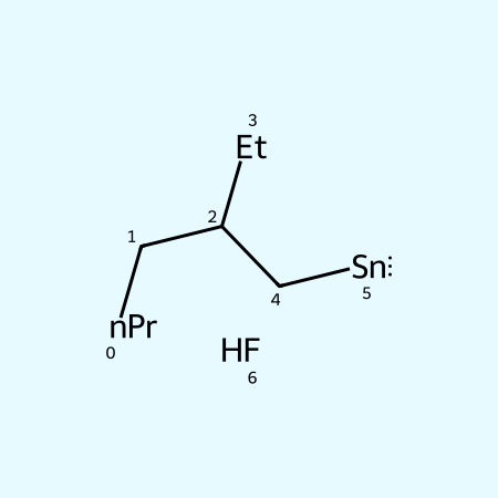 CCCCC(CC)[CH2][Sn].F